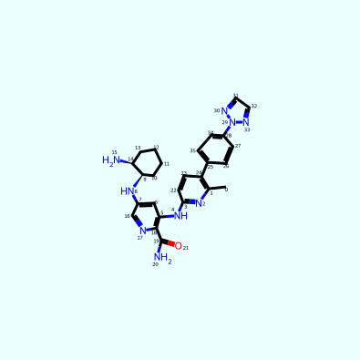 Cc1nc(Nc2cc(N[C@@H]3CCCC[C@@H]3N)cnc2C(N)=O)ccc1-c1ccc(-n2nccn2)cc1